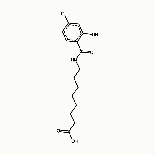 O=C(O)CCCCCCCNC(=O)c1ccc(Cl)cc1O